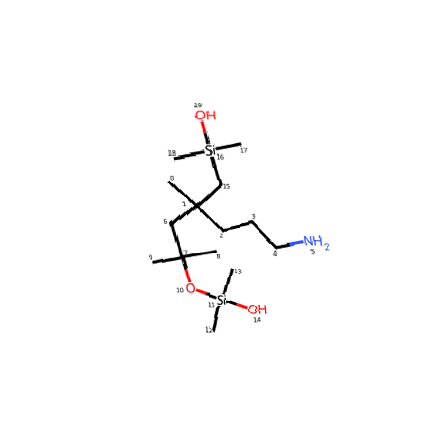 CC(CCCN)(CC(C)(C)O[Si](C)(C)O)C[Si](C)(C)O